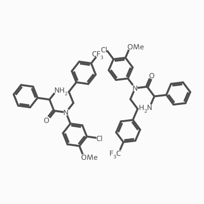 COc1cc(N(CCc2ccc(C(F)(F)F)cc2)C(=O)C(N)c2ccccc2)ccc1Cl.COc1ccc(N(CCc2ccc(C(F)(F)F)cc2)C(=O)C(N)c2ccccc2)cc1Cl